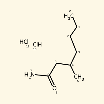 CCCCC(C)CC(N)=O.Cl.Cl